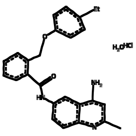 CCc1ccc(OCc2ccccc2C(=O)Nc2ccc3nc(C)cc(N)c3c2)cc1.Cl.O